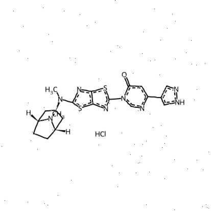 CN(c1nc2sc(-n3cnc(-c4cn[nH]c4)cc3=O)nc2s1)[C@@H]1C[C@H]2CC[C@@H](C1)N2C.Cl